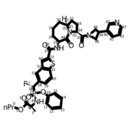 CCCOC(=O)[C@H](C)N[P@](=O)(Oc1ccccc1)[C@H](F)c1ccc2sc(C(=O)N[C@H]3CCC[C@H]4CC[C@@H](C(=O)N5CC(c6cccnc6)C5)N4C3=O)cc2c1